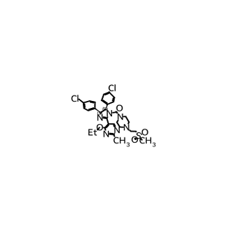 CCOc1nc(C)ncc1C1=N[C@@H](c2ccc(Cl)cc2)[C@@H](c2ccc(Cl)cc2)N1C(=O)N1CCN(CCS(C)(=O)=O)CC1